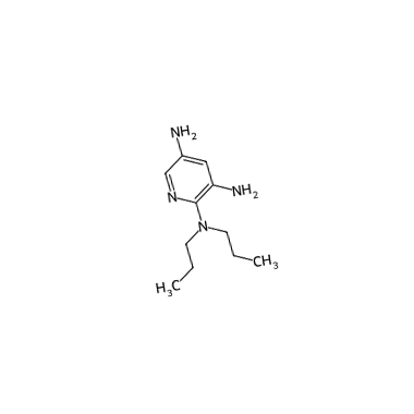 CCCN(CCC)c1ncc(N)cc1N